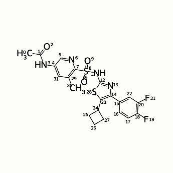 CC(=O)Nc1cnc(S(=O)(=O)Nc2nc(-c3ccc(F)c(F)c3)c(C3CCC3)s2)c(C)c1